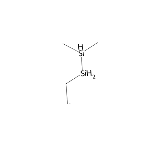 [CH2]C[SiH2][SiH](C)C